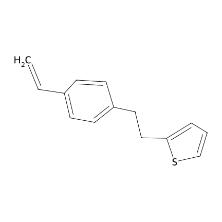 C=Cc1ccc(CCc2cccs2)cc1